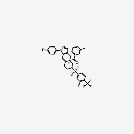 Cc1ccnc(C(=O)[C@]23Cc4cnn(-c5ccc(F)cc5)c4C=C2CCN(S(=O)(=O)c2ccc(C(F)(F)F)c(F)c2)C3)c1